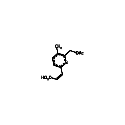 CC(=O)OCc1nc(/C=C\C(=O)O)ccc1C